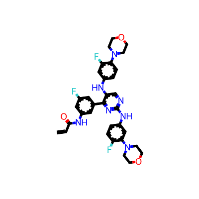 C=CC(=O)Nc1cc(F)cc(-c2nc(Nc3ccc(F)c(N4CCOCC4)c3)ncc2Nc2ccc(N3CCOCC3)c(F)c2)c1